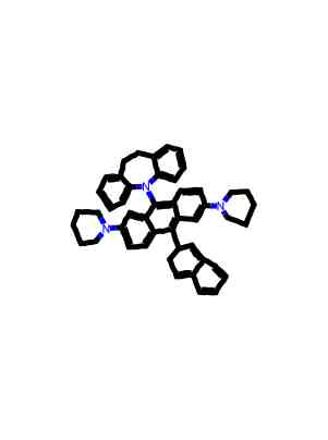 C1=c2ccccc2=CC(c2c3cc(N4CCCCC4)ccc3c(N3c4ccccc4CCc4ccccc43)c3cc(N4CCCCC4)ccc23)C1